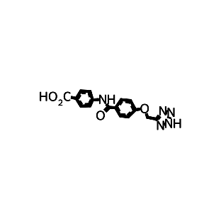 O=C(O)c1ccc(NC(=O)c2ccc(OCc3nn[nH]n3)cc2)cc1